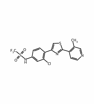 Cc1cnccc1-c1nc(-c2ccc(NS(=O)(=O)C(F)(F)F)cc2Cl)cs1